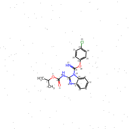 CC(C)OC(=O)Nc1nc2ccccc2n1C(=N)Oc1ccc(Cl)cc1